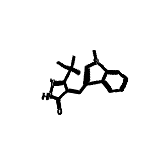 Cn1cc(C=C2C(=O)NN=C2C(C)(C)C)c2ccccc21